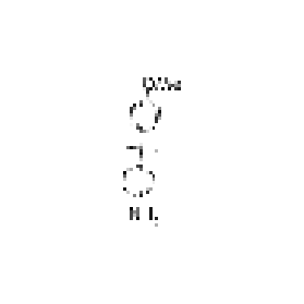 COc1ccc(C(C)(C)c2ccc(N)cc2)cc1